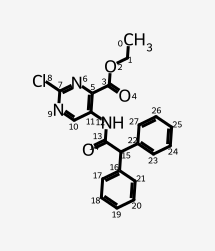 CCOC(=O)c1nc(Cl)ncc1NC(=O)C(c1ccccc1)c1ccccc1